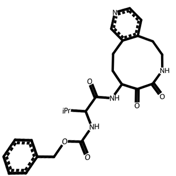 CC(C)C(NC(=O)OCc1ccccc1)C(=O)NC1CCc2cnccc2CCNC(=O)C1=O